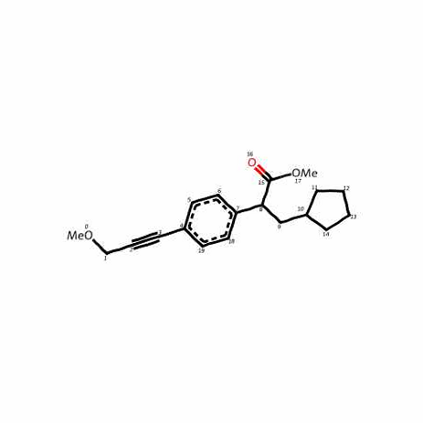 COCC#Cc1ccc(C(CC2CCCC2)C(=O)OC)cc1